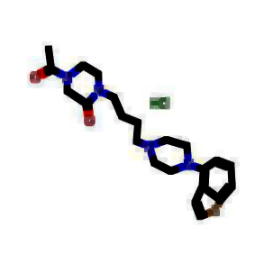 CC(=O)N1CCN(CCCCN2CCN(c3cccc4sccc34)CC2)C(=O)C1.Cl